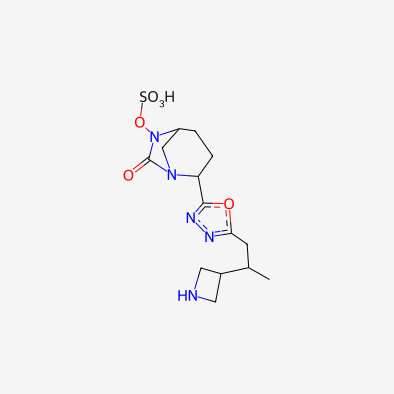 CC(Cc1nnc(C2CCC3CN2C(=O)N3OS(=O)(=O)O)o1)C1CNC1